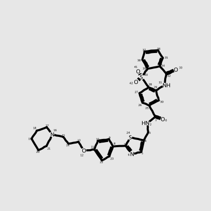 O=C(NCc1cnc(-c2ccc(OCCCN3CCCCC3)cc2)s1)c1ccc2c(c1)NC(=O)c1ccccc1S2(=O)=O